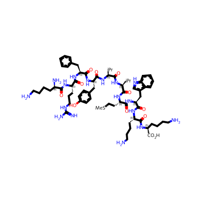 CSCC[C@H](NC(=O)[C@@H](NC(=O)[C@@H](NC(=O)[C@H](Cc1ccc(O)cc1)NC(=O)[C@H](Cc1ccccc1)NC(=O)[C@H](CCCNC(=N)N)NC(=O)[C@H](N)CCCCN)C(C)C)C(C)C)C(=O)N[C@@H](Cc1c[nH]c2ccccc12)C(=O)N[C@@H](CCCCN)C(=O)N[C@@H](CCCCN)C(=O)O